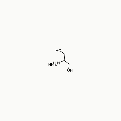 NC(CO)CO.[NaH]